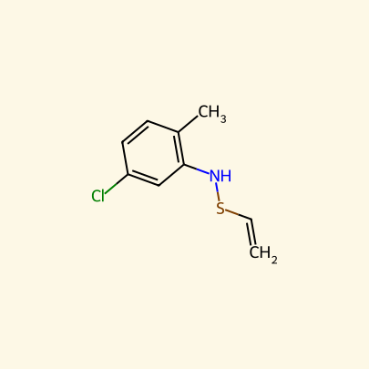 C=CSNc1cc(Cl)ccc1C